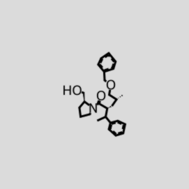 CC(c1ccccc1)[C@@H](C[C@@H](C)COCc1ccccc1)C(=O)N1CCC[C@H]1CO